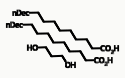 CCCCCCCCCCCCCCCCCCC(=O)O.CCCCCCCCCCCCCCCCCCC(=O)O.OCCCO